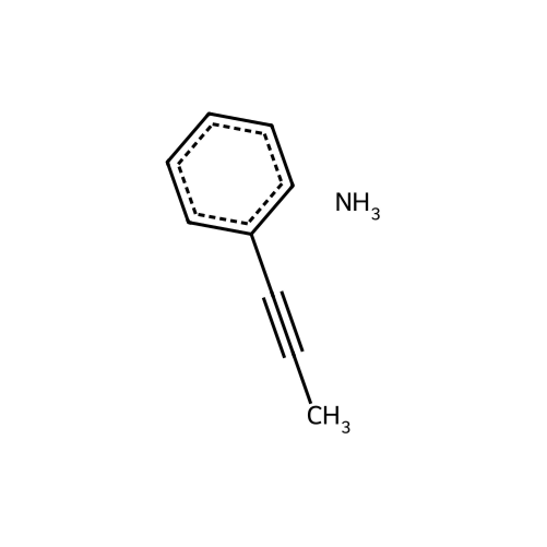 CC#Cc1ccccc1.N